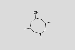 CC1CC(C)CC(O)CC(C)C1